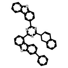 C1=CC(c2nc(-c3ccc4oc5ccccc5c4c3)nc(-c3cccc4oc5cc(-c6ccccc6)ccc5c34)n2)Cc2ccccc21